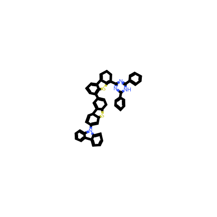 C1=CC2C3=CC(c4cccc5c6c(sc45)=C(C4=NC(c5ccccc5)NC(c5ccccc5)=N4)CCC=6)=CCC3SC2C=C1n1c2ccccc2c2ccccc21